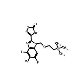 C[Si](C)(C)CCOCn1c(-c2noc(=O)[nH]2)nc2c(F)c(Br)c(F)cc21